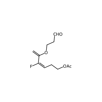 C=C(OCCC=O)/C(F)=C\CCOC(C)=O